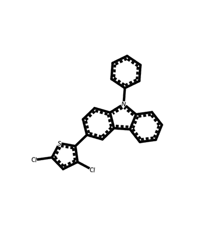 Clc1cc(Cl)c(-c2ccc3c(c2)c2ccccc2n3-c2ccccc2)s1